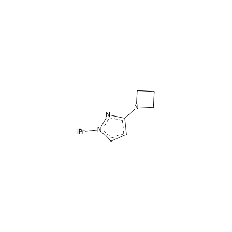 CC(C)n1ccc(N2CCC2)n1